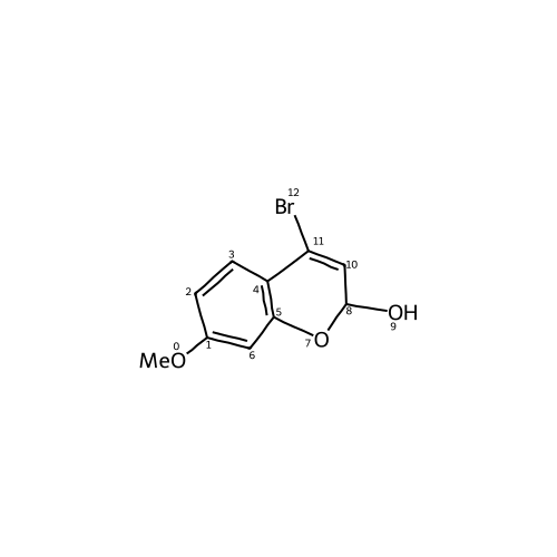 COc1ccc2c(c1)OC(O)C=C2Br